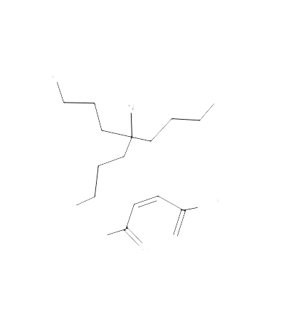 CCCCC(N)(CCCC)CCCC.O=C([O-])/C=C\C(=O)O.[K+]